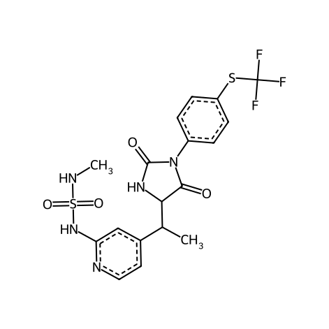 CNS(=O)(=O)Nc1cc(C(C)C2NC(=O)N(c3ccc(SC(F)(F)F)cc3)C2=O)ccn1